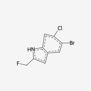 FCc1cc2cc(Br)c(Cl)cc2[nH]1